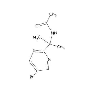 CC(=O)NC(C)(C)c1ncc(Br)cn1